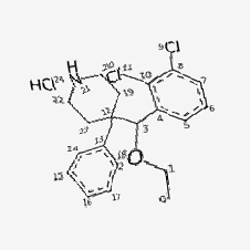 CCOC(c1cccc(Cl)c1Cl)C1(c2ccccc2)CCNCC1.Cl